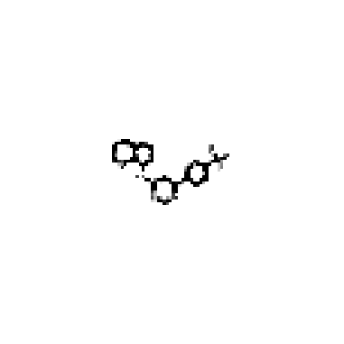 FC(F)(F)c1ccc(-c2cc(Nc3cccc4cccnc34)ncn2)cc1